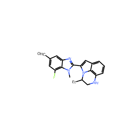 CCC1CNc2cccc3cc(-c4nc5cc(C=O)cc(F)c5n4C)n1c23